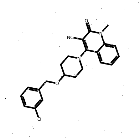 Cn1c(=O)c(C#N)c(N2CCC(OCc3cccc(Cl)c3)CC2)c2ccccc21